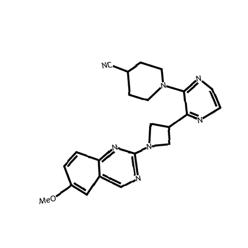 COc1ccc2nc(N3CC(c4nccnc4N4CCC(C#N)CC4)C3)ncc2c1